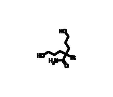 CCC(CCCO)(CCCO)C(N)=O